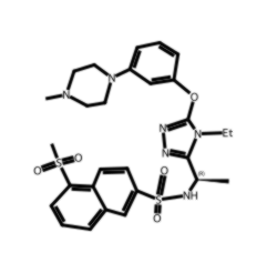 CCn1c(Oc2cccc(N3CCN(C)CC3)c2)nnc1[C@@H](C)NS(=O)(=O)c1ccc2c(S(C)(=O)=O)cccc2c1